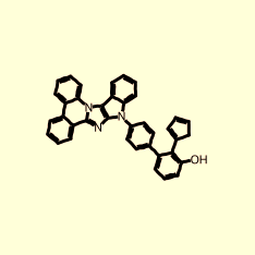 Oc1cccc(-c2ccc(-n3c4ccccc4c4c3nc3c5ccccc5c5ccccc5n34)cc2)c1C1=CC=CC1